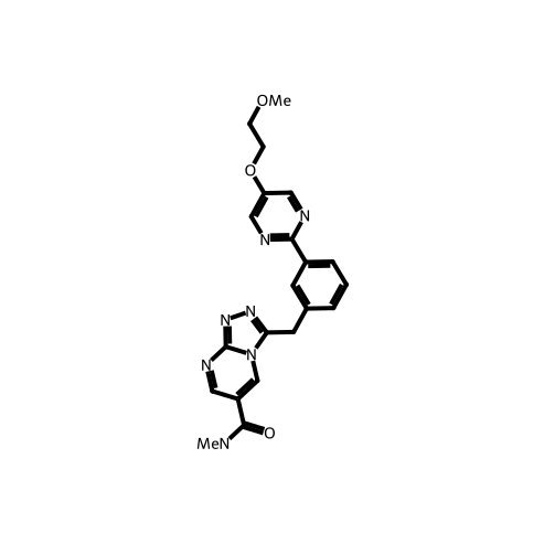 CNC(=O)c1cnc2nnc(Cc3cccc(-c4ncc(OCCOC)cn4)c3)n2c1